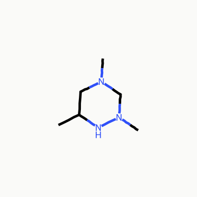 CC1CN(C)CN(C)N1